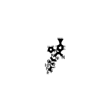 C[C@H](NS(=O)(=O)c1cnc(-c2c(C#N)c3ccc(C4CC4)cc3n2C2CCCC2)nc1)C(F)(F)F